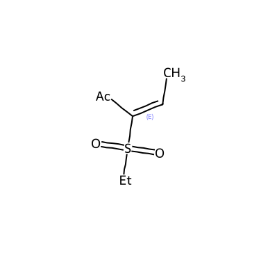 C/C=C(\C(C)=O)S(=O)(=O)CC